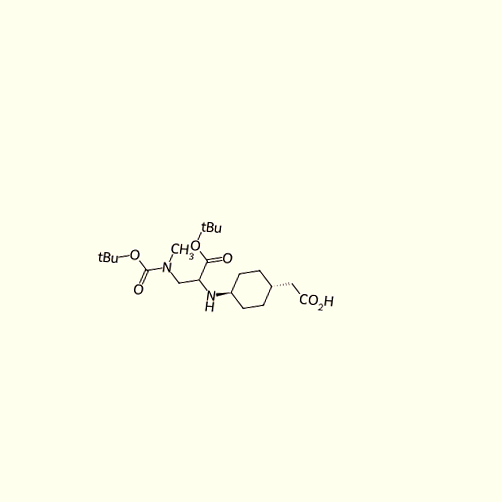 CN(CC(N[C@H]1CC[C@H](CC(=O)O)CC1)C(=O)OC(C)(C)C)C(=O)OC(C)(C)C